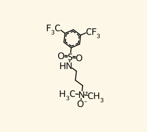 C[N+](C)([O-])CCCNS(=O)(=O)c1cc(C(F)(F)F)cc(C(F)(F)F)c1